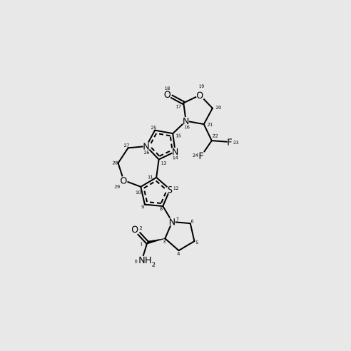 NC(=O)[C@@H]1CCCN1c1cc2c(s1)-c1nc(N3C(=O)OCC3C(F)F)cn1CCO2